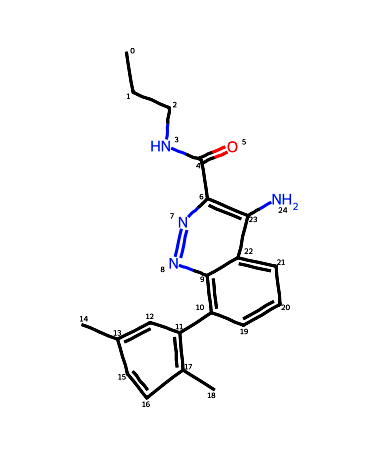 CCCNC(=O)c1nnc2c(-c3cc(C)ccc3C)cccc2c1N